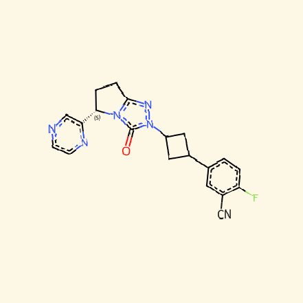 N#Cc1cc(C2CC(n3nc4n(c3=O)[C@H](c3cnccn3)CC4)C2)ccc1F